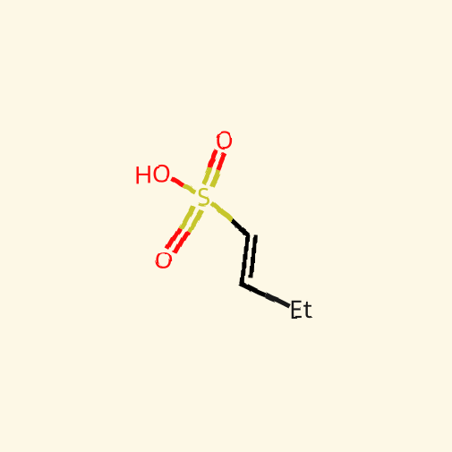 [CH2]C/C=C/S(=O)(=O)O